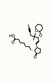 CC#CCC(C)(C)[C@@H](/C=C/[C@H]1CCC(=O)[C@@H]1CCCCCCC(=O)O)OC1CCCCO1